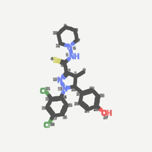 CC1C(C(=S)NN2CCCCC2)=NN(c2ccc(Cl)cc2Cl)C1c1ccc(O)cc1